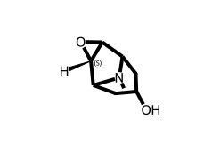 CN1C2CC(O)CC1[C@@H]1OC21